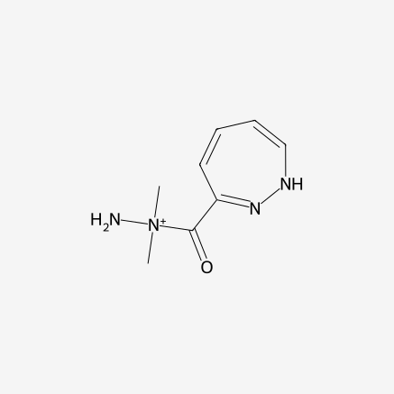 C[N+](C)(N)C(=O)C1=NNC=CC=C1